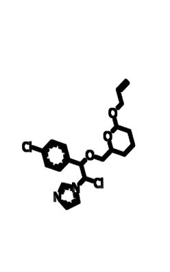 C=CCOC1CCCC(COC(c2ccc(Cl)cc2)C(Cl)n2ccnc2)O1